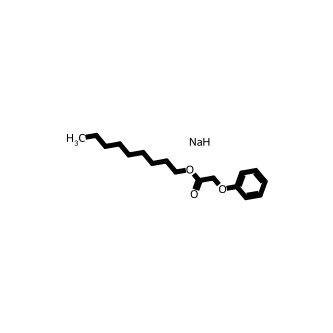 CCCCCCCCCOC(=O)COc1ccccc1.[NaH]